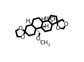 COC[C@]12CCC3(C[C@H]1CC[C@@H]1[C@@H]2CC[C@@]2(C)[C@H]1CCC21COCO1)OCCO3